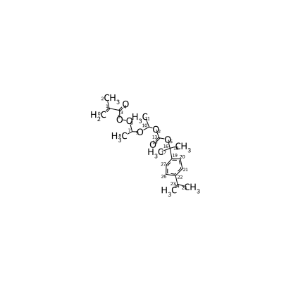 C=C(C)C(=O)OOC(C)OC(C)OC(=O)OC(C)(C)c1ccc(C(C)C)cc1